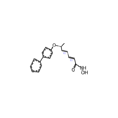 CC(/C=C/C=C/C(=O)NO)Oc1ccc(-c2ccccc2)cc1